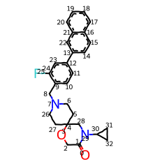 O=C1COC2(CCN(Cc3ccc(-c4ccc5ccccc5c4)cc3F)CC2)CN1C1CC1